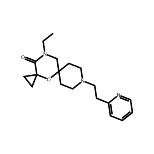 CCN1CC2(CCN(CCc3ccccn3)CC2)OC2(CC2)C1=O